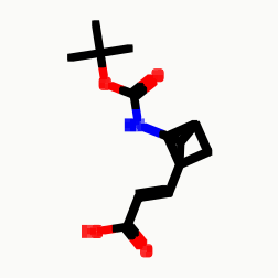 CC(C)(C)OC(=O)NC1C2CC1(C=CC(=O)O)C2